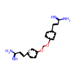 N=C(N)C=Cc1ccc(OCOc2ccc(C=CC(=N)N)cc2)cc1